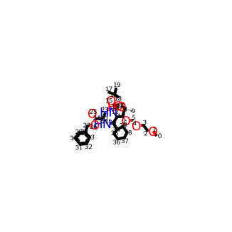 COCCOCO[C@@H]([C@@H](C)O)[C@@H](NC(=O)OC(C)(C)C)C(NC(C)C(=O)OCc1ccccc1)C1CCCCC1